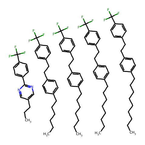 CCCCCCCCCc1ccc(CCc2ccc(C(F)(F)F)cc2)cc1.CCCCCCCCc1ccc(CCc2ccc(C(F)(F)F)cc2)cc1.CCCCCCCc1ccc(CCc2ccc(C(F)(F)F)cc2)cc1.CCCCCCc1ccc(CCc2ccc(C(F)(F)F)cc2)cc1.CCCc1cnc(-c2ccc(C(F)(F)F)cc2)nc1